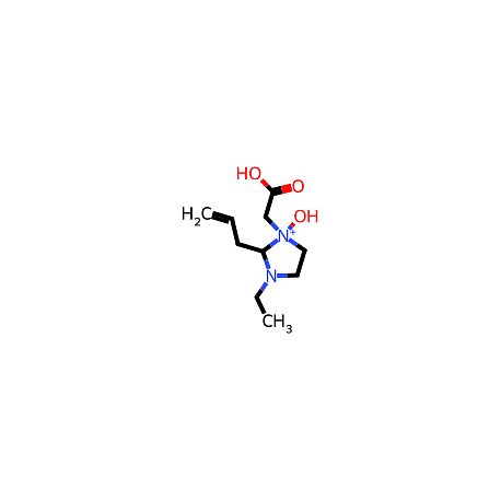 C=CCC1N(CC)CC[N+]1(O)CC(=O)O